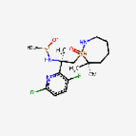 CC(C)(C)[S@@+]([O-])N[C@@](C)(C[SH]1(=O)NCCCC[C@]1(C)C#N)c1nc(Br)ccc1F